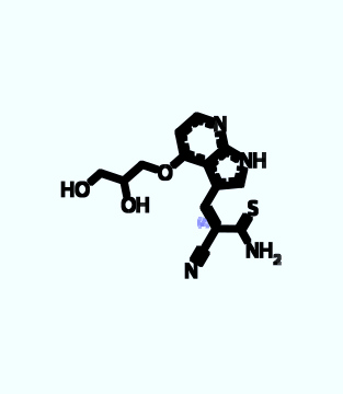 N#C/C(=C/c1c[nH]c2nccc(OCC(O)CO)c12)C(N)=S